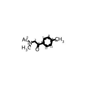 CC(=O)N(C)CC(=O)c1ccc(C)cc1